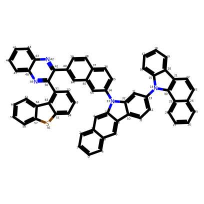 c1ccc2cc3c(cc2c1)c1ccc(-n2c4ccccc4c4ccc5ccccc5c42)cc1n3-c1ccc2ccc(-c3nc4ccccc4nc3-c3cccc4sc5ccccc5c34)cc2c1